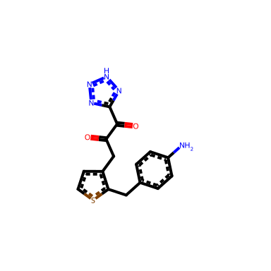 Nc1ccc(Cc2sccc2CC(=O)C(=O)c2nn[nH]n2)cc1